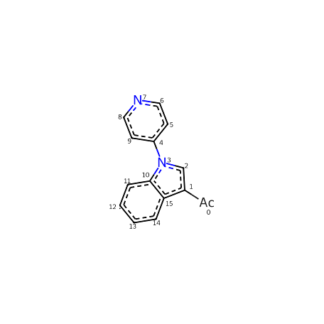 CC(=O)c1cn(-c2ccncc2)c2c[c]ccc12